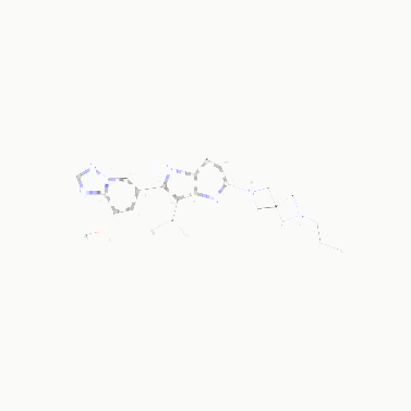 CCCN1CC2(C1)CN(c1ccc3[nH]c(-c4cc(OC)c5ncnn5c4)c(C(C)C)c3n1)C2